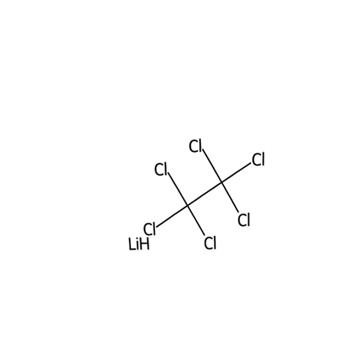 ClC(Cl)(Cl)C(Cl)(Cl)Cl.[LiH]